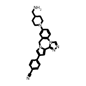 N#Cc1ccc(-c2cc3n(c2)Cc2cc(N4CCC(CN)CC4)ccc2-n2cnnc2-3)cc1